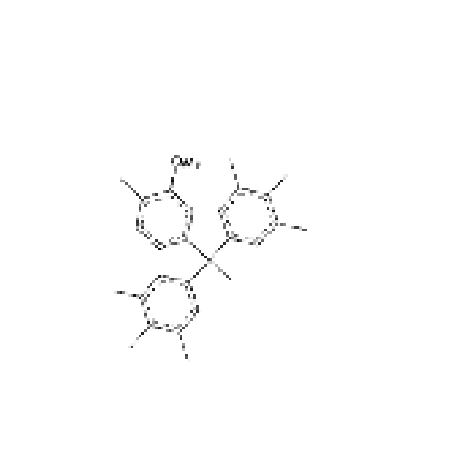 COc1cc(C(C)(c2cc(C)c(C)c(C)c2)c2cc(C)c(C)c(C)c2)ccc1C